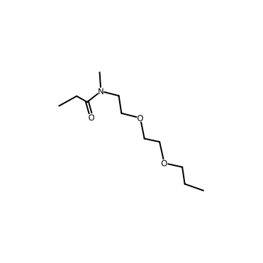 CCCOCCOCCN(C)C(=O)CC